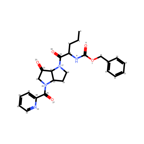 CCCC(NC(=O)OCc1ccccc1)C(=O)N1CCC2C1C(=O)CN2C(=O)c1ccccn1